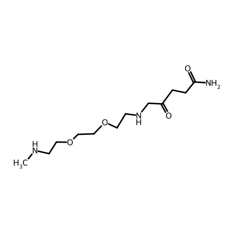 CNCCOCCOCCNCC(=O)CCC(N)=O